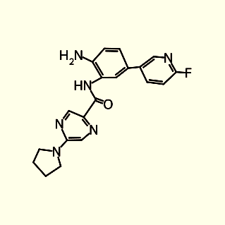 Nc1ccc(-c2ccc(F)nc2)cc1NC(=O)c1cnc(N2CCCC2)cn1